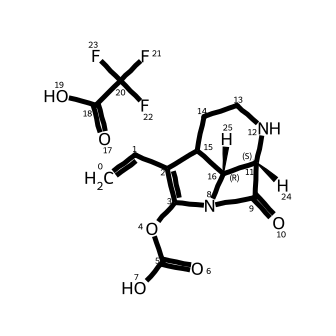 C=CC1=C(OC(=O)O)N2C(=O)[C@H]3NCCC1[C@H]32.O=C(O)C(F)(F)F